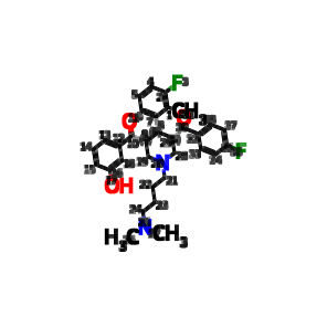 Cc1c(F)cccc1[C@H]1[C@@H](C(=O)c2cccc(O)c2)CN(CCCCN(C)C)C[C@H]1C(=O)c1ccc(F)cc1